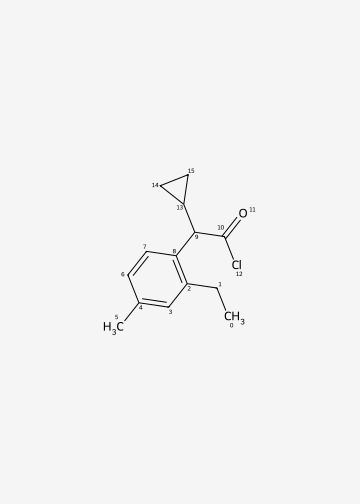 CCc1cc(C)ccc1C(C(=O)Cl)C1CC1